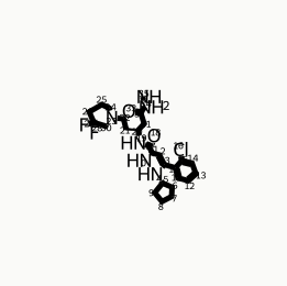 N=C(/C=C(\NC1CCCC1)c1ccccc1Cl)C(=O)N[C@@H](CCN1CCCC(F)(F)C1)CC(=O)NN